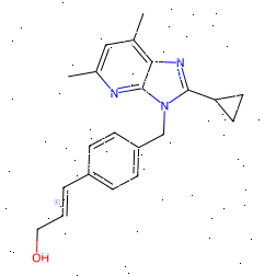 Cc1cc(C)c2nc(C3CC3)n(Cc3ccc(/C=C/CO)cc3)c2n1